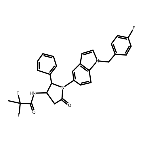 CC(F)(F)C(=O)NC1CC(=O)N(c2ccc3c(ccn3Cc3ccc(F)cc3)c2)C1c1ccccc1